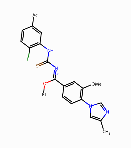 CCO/C(=N\C(=S)Nc1cc(C(C)=O)ccc1F)c1ccc(-n2cnc(C)c2)c(OC)c1